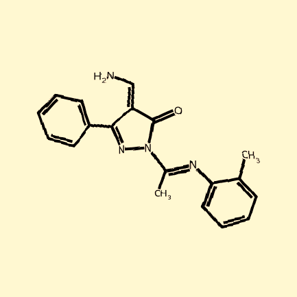 C/C(=N\c1ccccc1C)N1N=C(c2ccccc2)/C(=C\N)C1=O